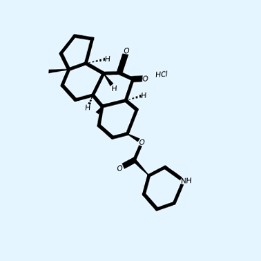 C[C@@]12CCC[C@H]1[C@@H]1C(=O)C(=O)[C@H]3C[C@@H](OC(=O)[C@@H]4CCCNC4)CC[C@]3(C)[C@H]1CC2.Cl